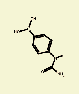 NC(=O)N(F)c1ccc(B(O)O)cc1